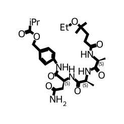 CCOC(C)(C)CCC(=O)N[C@@H](C)C(=O)N[C@@H](C)C(=O)N[C@@H](CC(N)=O)C(=O)Nc1ccc(COC(=O)C(C)C)cc1